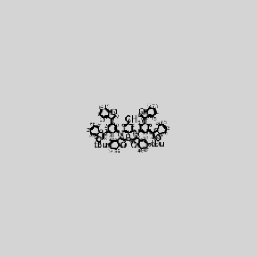 Cc1cc2c3c(c1)N(c1cc(-c4coc5ccccc45)cc(-c4coc5ccccc45)c1)c1c(oc4ccc(C(C)(C)C)cc14)B3c1oc3ccc(C(C)(C)C)cc3c1N2c1cc(-c2coc3ccccc23)cc(-c2coc3ccccc23)c1